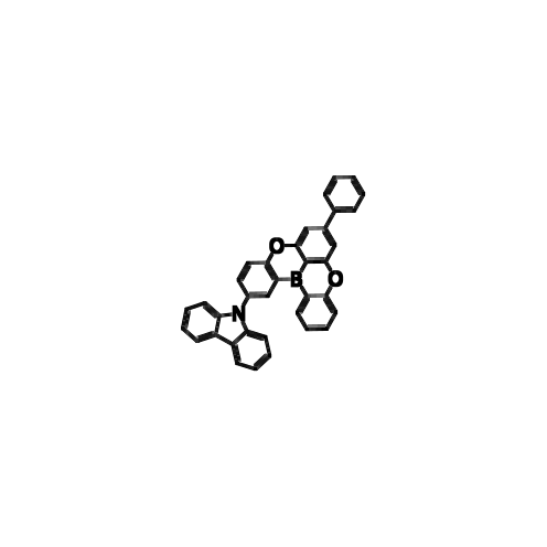 c1ccc(-c2cc3c4c(c2)Oc2ccc(-n5c6ccccc6c6ccccc65)cc2B4c2ccccc2O3)cc1